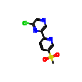 CS(=O)(=O)c1ccc(-c2cncc(Cl)n2)nc1